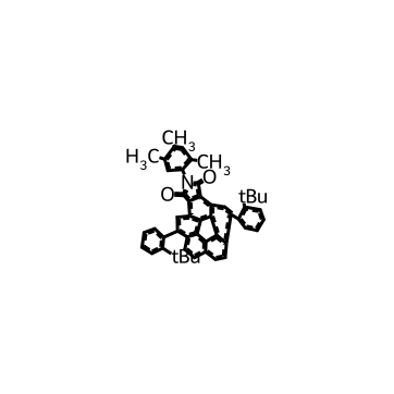 Cc1cc(C)c(-n2c(=O)c3c4cc(-c5ccccc5C(C)(C)C)c5ccc6ccc7c(-c8ccccc8C(C)(C)C)cc(c3c2=O)c2c7c6c5c42)cc1C